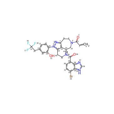 C=CC(=O)N1CCc2nn(-c3ccc(CC(F)(F)F)cc3O)c3c2[C@@H](C1)N(C(=O)c1ccc(Br)c2[nH]cnc12)CC3